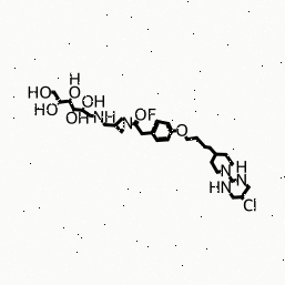 O=C(Cc1ccc(OCCCCC2CCN(C3NCC(Cl)CN3)CC2)cc1F)N1CC(CNC[C@H](O)[C@@H](O)[C@H](O)[C@H](O)CO)C1